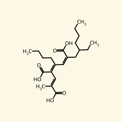 CCCCC(C=C(CC(CC)CCCC)C(=O)O)=C(C=C(C)C(=O)O)C(=O)O